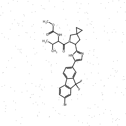 COC(=O)NC(C(=O)N1CC2(CC2)CC1c1ncc(-c2ccc3c(c2)C(F)(F)c2cc(Br)ccc2-3)[nH]1)C(C)C